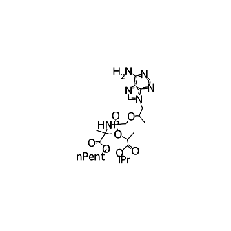 CCCCCOC(=O)C(C)(C)NP(=O)(COC(C)Cn1cnc2c(N)ncnc21)OC(C)C(=O)OC(C)C